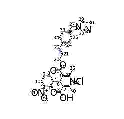 CC1=C(C(=O)O)C(c2cccc([N+](=O)[O-])c2)C(C(=O)OC/C=C/c2ccc(Cn3ccnc3)cc2)=C(C)N1Cl